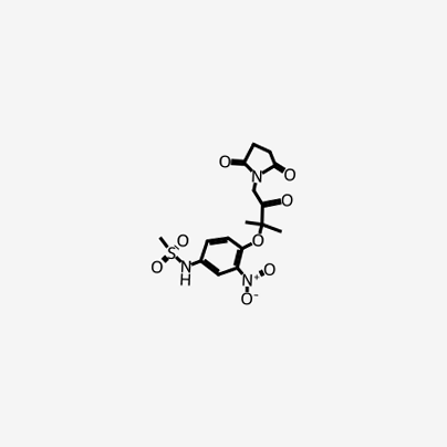 CC(C)(Oc1ccc(NS(C)(=O)=O)cc1[N+](=O)[O-])C(=O)CN1C(=O)CCC1=O